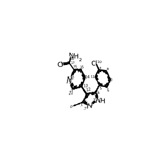 Cc1n[nH]c(-c2cccc(Cl)c2)c1-c1ccc(C(N)=O)nc1